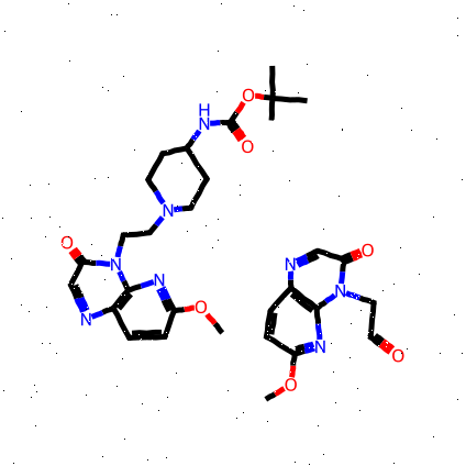 COc1ccc2ncc(=O)n(CC=O)c2n1.COc1ccc2ncc(=O)n(CCN3CCC(NC(=O)OC(C)(C)C)CC3)c2n1